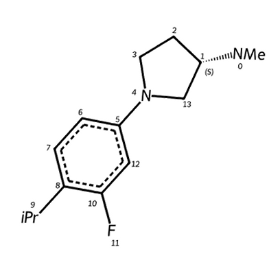 CN[C@H]1CCN(c2ccc(C(C)C)c(F)c2)C1